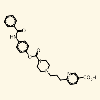 O=C(O)c1ccc(CCCN2CCN(C(=O)Oc3ccc(NC(=O)c4ccccc4)cc3)CC2)nc1